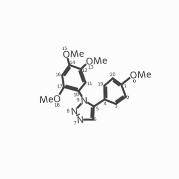 COc1ccc(-c2cnnn2-c2cc(OC)c(OC)cc2OC)cc1